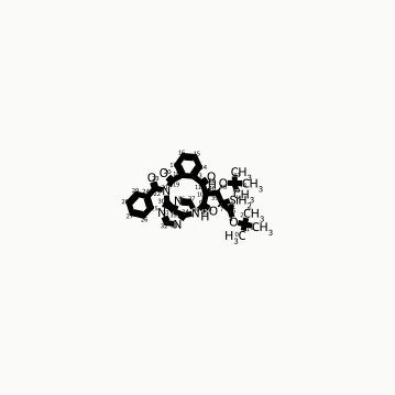 CC(C)(C)OC1[SiH2][C@@]12O[C@@H]1[C@H](C(=O)c3ccccc3C(=O)N(C(=O)c3ccccc3)c3ncnc4c3ncn41)[C@@H]2OC(C)(C)C